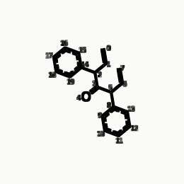 C=CC(C(=O)C(C=C)c1ccccc1)c1ccccc1